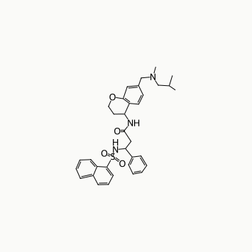 CC(C)CN(C)Cc1ccc2c(c1)OCCC2NC(=O)CC(NS(=O)(=O)c1cccc2ccccc12)c1ccccc1